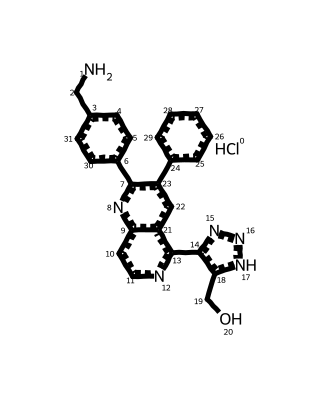 Cl.NCc1ccc(-c2nc3ccnc(-c4nn[nH]c4CO)c3cc2-c2ccccc2)cc1